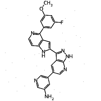 COc1cc(F)cc(-c2nccc3[nH]c(-c4n[nH]c5ncc(-c6cncc(N)c6)cc45)cc23)c1